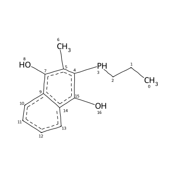 CCCPc1c(C)c(O)c2ccccc2c1O